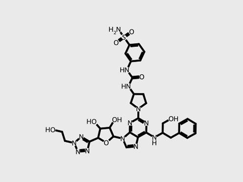 NS(=O)(=O)c1cccc(NC(=O)NC2CCN(c3nc(NC(CO)Cc4ccccc4)c4ncn(C5OC(c6nnn(CCO)n6)C(O)C5O)c4n3)C2)c1